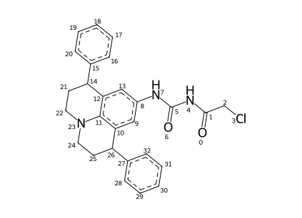 O=C(CCl)NC(=O)Nc1cc2c3c(c1)C(c1ccccc1)CCN3CCC2c1ccccc1